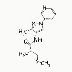 CSCC(C)C(=O)Nc1cn(-c2cccnc2)nc1C